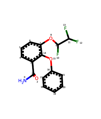 NC(=O)c1cccc(OC(F)C(F)F)c1Oc1ccccc1